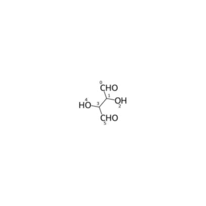 O=CC(O)C(O)C=O